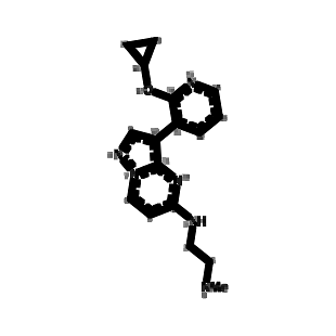 CNCCNc1ccn2ncc(-c3cccnc3OC3CC3)c2n1